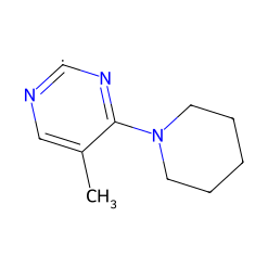 Cc1cn[c]nc1N1CCCCC1